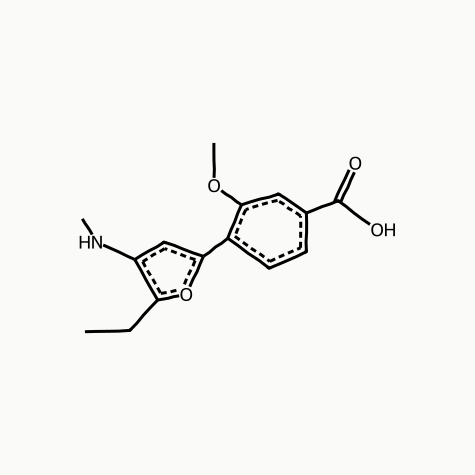 CCc1oc(-c2ccc(C(=O)O)cc2OC)cc1NC